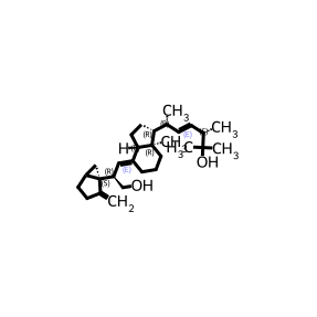 C=C1CCC2C[C@]12[C@@H](/C=C1\CCC[C@]2(C)[C@@H]([C@H](C)/C=C/[C@H](C)C(C)(C)O)CC[C@@H]12)CO